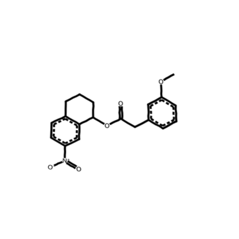 COc1cccc(CC(=O)OC2CCCc3ccc([N+](=O)[O-])cc32)c1